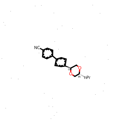 CCC[C@@H]1CO[C@@H](c2ccc(-c3ccc(C#N)cc3)cc2)CO1